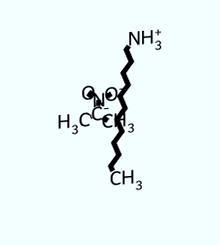 CCCCCCCCCCCC[NH3+].C[C-](C)[N+](=O)[O-]